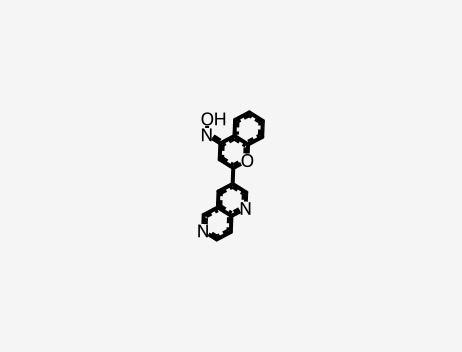 O/N=c1/cc(-c2cnc3ccncc3c2)oc2ccccc12